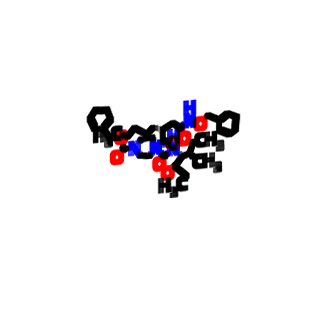 CCCCC[C@H](CC(=O)NOCc1ccccc1)C(=O)[N+]1(C(=O)N[C@@H](C(=O)CC)[C@H](C)CC)CCN(C(=O)OCc2ccccc2)CC1